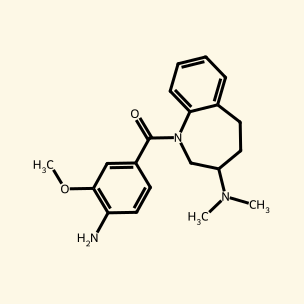 COc1cc(C(=O)N2CC(N(C)C)CCc3ccccc32)ccc1N